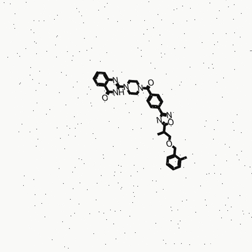 Cc1ccccc1COCC(C)c1nc(-c2ccc(C(=O)N3CCN(c4nc5ccccc5c(=O)[nH]4)CC3)cc2)no1